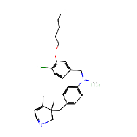 Br.CCCCCCCCCCCCCCOc1cc(CN(C(C)=O)c2ccc(CC3(C)CN=CC=C3C)cc2)ccc1Cl